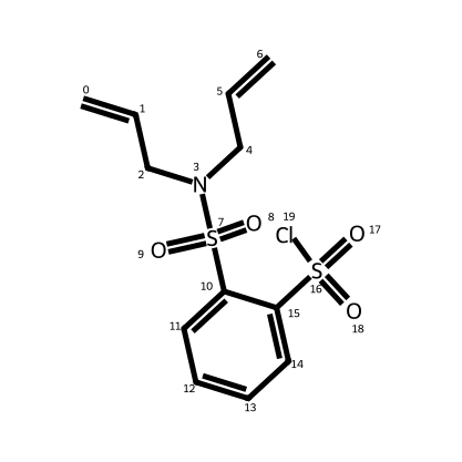 C=CCN(CC=C)S(=O)(=O)c1ccccc1S(=O)(=O)Cl